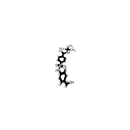 CC(C)(C)NC(=O)c1ccc(S(=O)(=O)Nc2cc(F)c(C(=O)O)cc2F)cc1